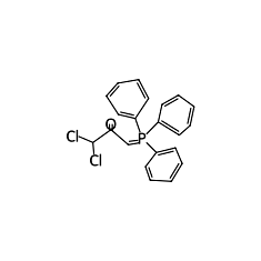 O=C(C=P(c1ccccc1)(c1ccccc1)c1ccccc1)C(Cl)Cl